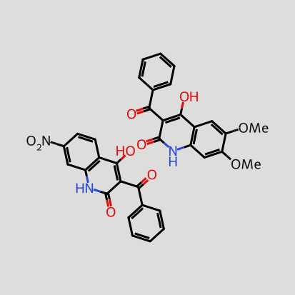 COc1cc2[nH]c(=O)c(C(=O)c3ccccc3)c(O)c2cc1OC.O=C(c1ccccc1)c1c(O)c2ccc([N+](=O)[O-])cc2[nH]c1=O